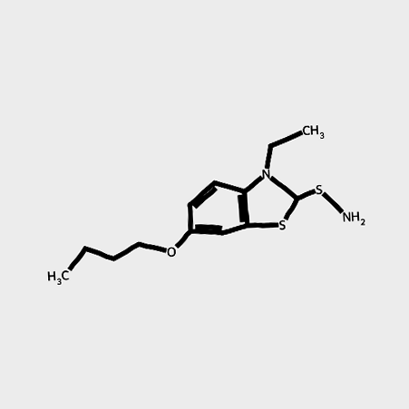 CCCCOc1ccc2c(c1)SC(SN)N2CC